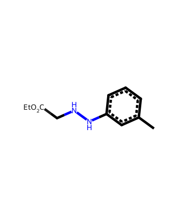 CCOC(=O)CNNc1cccc(C)c1